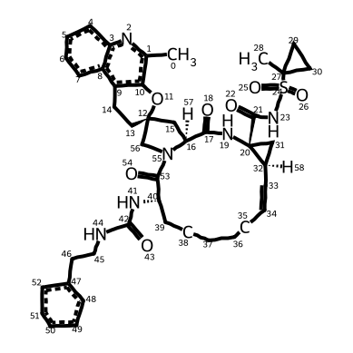 Cc1nc2ccccc2c2c1O[C@]1(CC2)C[C@H]2C(=O)N[C@]3(C(=O)NS(=O)(=O)C4(C)CC4)C[C@H]3C=CCCCCC[C@H](NC(=O)NCCc3ccccc3)C(=O)N2C1